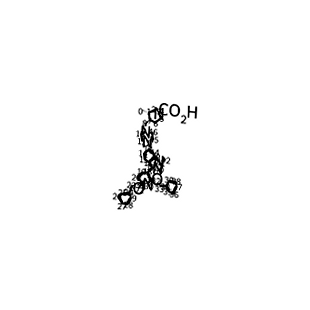 C[C@@H]1CN(C(=O)O)CC[C@H]1CN1CCN(c2ccc3c(-c4ccc(OCc5ccccc5)nc4OCc4ccccc4)nn(C)c3c2)CC1